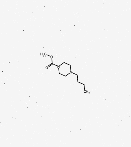 [CH2]CCCN1CCN(C(=O)OC)CC1